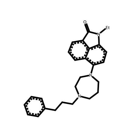 CCN1C(=O)c2cccc3c(N4CCCN(CCCc5ccccc5)CC4)ccc1c23